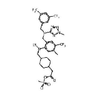 CCN(CC1CCC(CC(=O)OS(C)(=O)=O)CC1)c1cc(C)c(C(F)(F)F)cc1CN(Cc1cc(C(F)(F)F)cc(C(F)(F)F)c1)c1nnn(C)n1